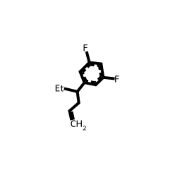 C=CCC(CC)c1cc(F)cc(F)c1